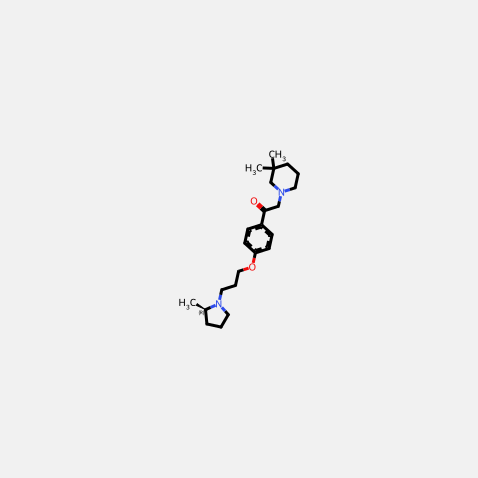 C[C@@H]1CCCN1CCCOc1ccc(C(=O)CN2CCCC(C)(C)C2)cc1